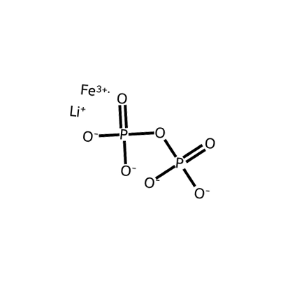 O=P([O-])([O-])OP(=O)([O-])[O-].[Fe+3].[Li+]